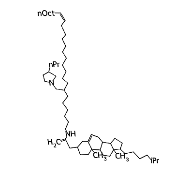 C=C(CC1CCC2(C)C(=CCC3C2CCC2(C)C(CCCCC(C)C)CCC32)C1)NCCCCCCC(CCCCCCCCCC/C=C\CCCCCCCC)CN1CCC(CCC)C1